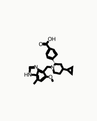 COc1cc(C)c2[nH]cnc2c1CN1CCC(C2CC2)C[C@H]1c1ccc(C(=O)O)cc1